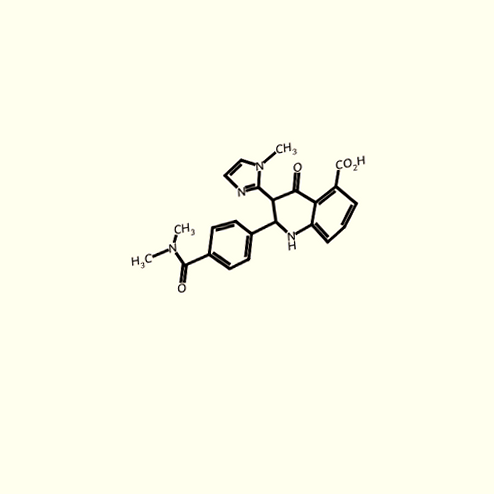 CN(C)C(=O)c1ccc(C2Nc3cccc(C(=O)O)c3C(=O)C2c2nccn2C)cc1